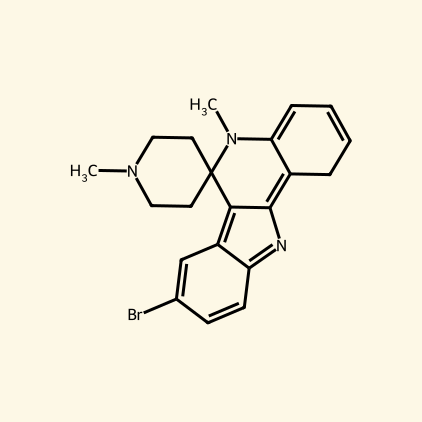 CN1CCC2(CC1)C1=c3cc(Br)ccc3=NC1=C1CC=CC=C1N2C